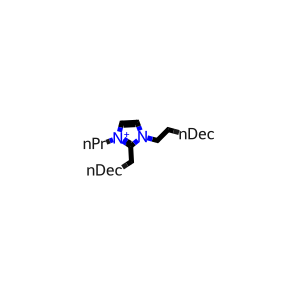 CCCCCCCCCCCCn1cc[n+](CCC)c1CCCCCCCCCCC